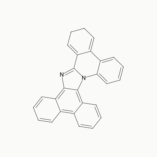 C1=c2c(c3nc4c5ccccc5c5ccccc5c4n3c3ccccc23)=CCC1